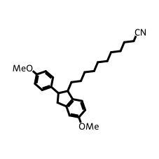 COc1ccc(C2Cc3cc(OC)ccc3C2CCCCCCCCCCC#N)cc1